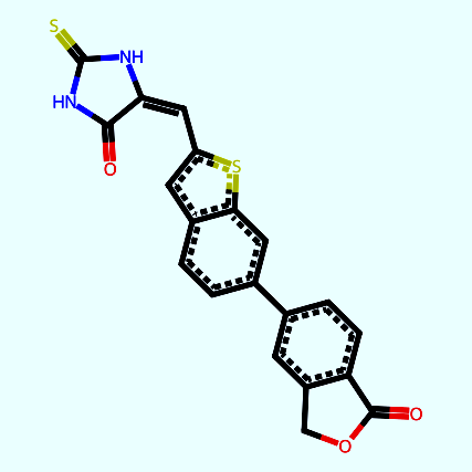 O=C1NC(=S)N/C1=C/c1cc2ccc(-c3ccc4c(c3)COC4=O)cc2s1